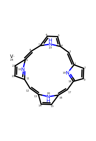 C1=Cc2cc3ccc(cc4nc(cc5ccc(cc1n2)[nH]5)C=C4)[nH]3.[V]